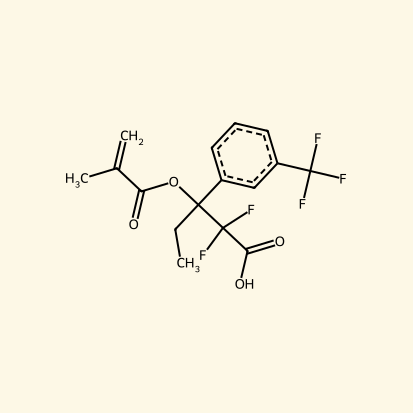 C=C(C)C(=O)OC(CC)(c1cccc(C(F)(F)F)c1)C(F)(F)C(=O)O